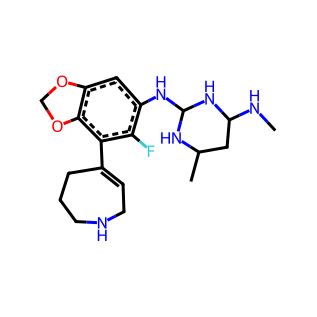 CNC1CC(C)NC(Nc2cc3c(c(C4=CCNCCC4)c2F)OCO3)N1